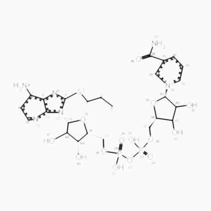 CCCSc1nc2c(N)ccnc2n1[C@@H]1O[C@H](COP(=O)(O)OP(=O)(O)OC[C@H]2O[C@@H]([n+]3cccc(C(N)=O)c3)C(O)C2O)[C@H](O)C1O